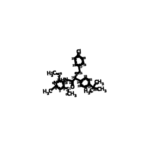 CSc1cc(C)nc(SC)c1NC(=O)C(SCc1ccc(Cl)cc1)c1ccc(C(C)(C)C)cc1